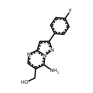 Nc1c(CO)cnc2cc(-c3ccc(F)cc3)nn12